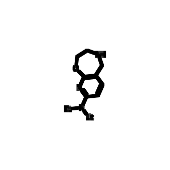 CCN(CC)c1ccc2c(n1)OCCNC2